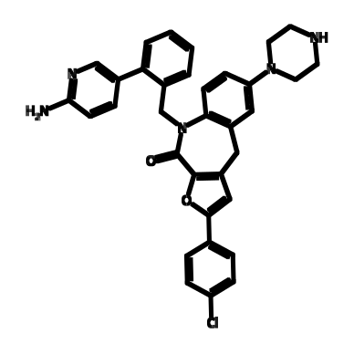 Nc1ccc(-c2ccccc2CN2C(=O)c3oc(-c4ccc(Cl)cc4)cc3Cc3cc(N4CCNCC4)ccc32)cn1